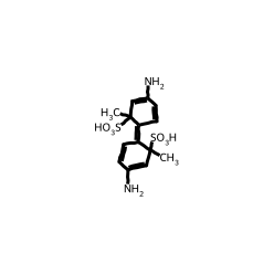 CC1(S(=O)(=O)O)C=C(N)C=CC1=C1C=CC(N)=CC1(C)S(=O)(=O)O